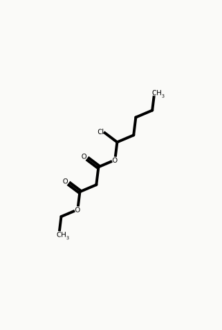 CCCCC(Cl)OC(=O)CC(=O)OCC